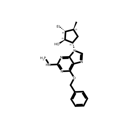 CC[C@H]1[C@H](O)[C@@H](n2cnc3c(OCc4ccccc4)nc(NP)nc32)C[C@@H]1C